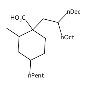 CCCCCCCCCCC(CCCCCCCC)CC1(C(=O)O)CCC(CCCCC)CC1C